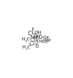 Cc1cc(C(C)Nc2cccc(F)c2C(=O)O)c2oc(-c3cc(OC(O)C(F)(F)F)ccn3)cc(=O)c2c1